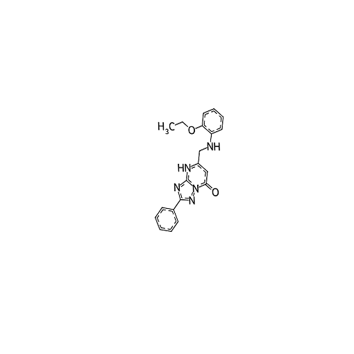 CCOc1ccccc1NCc1cc(=O)n2nc(-c3ccccc3)nc2[nH]1